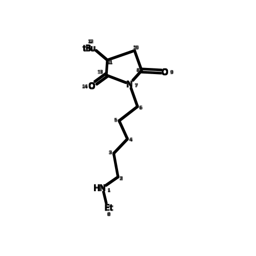 CCNCCCCCN1C(=O)CC(C(C)(C)C)C1=O